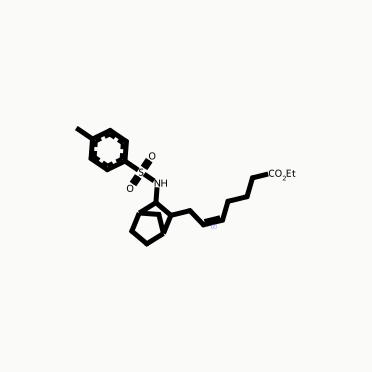 CCOC(=O)CCC/C=C\CC1C2CCC(C2)C1NS(=O)(=O)c1ccc(C)cc1